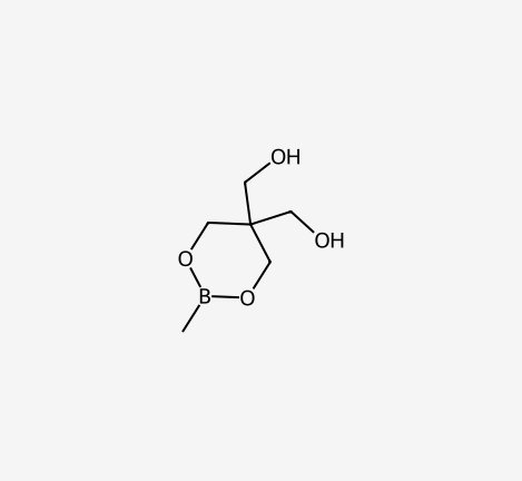 CB1OCC(CO)(CO)CO1